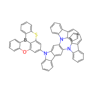 c1ccc2c(c1)Oc1cc(-n3c4ccccc4c4cc(-n5c6ccccc6c6ccccc65)c(-n5c6ccccc6c6ccccc65)cc43)cc3c1B2c1ccccc1S3